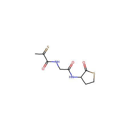 CC(=S)C(=O)NCC(=O)NC1CCSC1=O